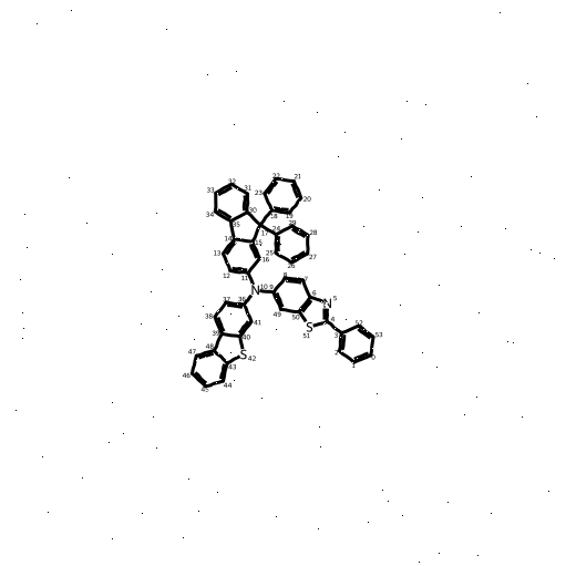 c1ccc(-c2nc3ccc(N(c4ccc5c(c4)C(c4ccccc4)(c4ccccc4)c4ccccc4-5)c4ccc5c(c4)sc4ccccc45)cc3s2)cc1